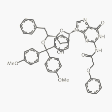 COc1ccc(C(OC(Cc2ccccc2)[C@H]2O[C@@H](n3cnc4c(=O)[nH]c(NC(=O)COc5ccccc5)nc43)C[C@@H]2O)(c2ccccc2)c2ccc(OC)cc2)cc1